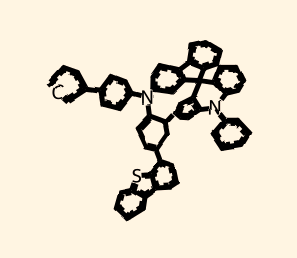 CC1CC(c2cccc3c2sc2ccccc23)=CC=C1N(c1ccc(-c2ccccc2)cc1)c1ccc2c(c1)C1(c3ccccc3-2)c2ccccc2N(c2ccccc2)c2ccccc21